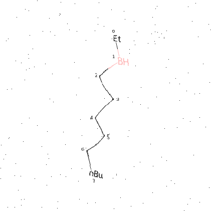 CCBCCCCCCCCC